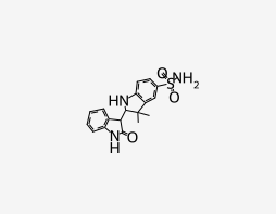 CC1(C)c2cc(S(N)(=O)=O)ccc2NC1C1C(=O)Nc2ccccc21